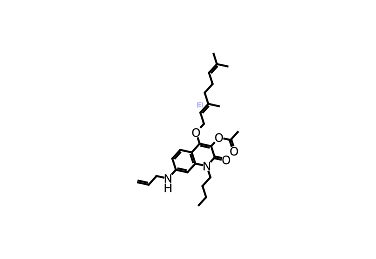 C=CCNc1ccc2c(OC/C=C(\C)CCC=C(C)C)c(OC(C)=O)c(=O)n(CCCC)c2c1